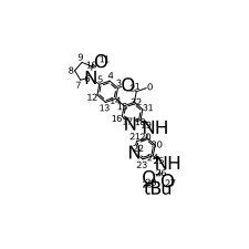 CC1Oc2cc(N3CCCC3=O)ccc2-c2cnc(Nc3cncc(NC(=O)OC(C)(C)C)c3)cc21